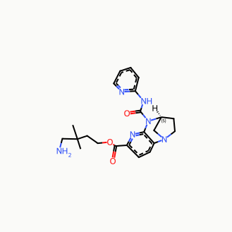 CC(C)(CN)CCOC(=O)c1ccc2c(n1)N(C(=O)Nc1ccccn1)[C@H]1CCN2C1